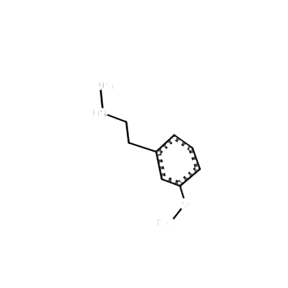 CC(C)(C)NCCc1cccc(OC(F)(F)F)c1